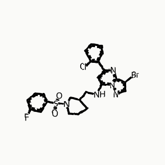 O=S(=O)(c1cccc(F)c1)N1CCCC(CNc2cc(-c3ccccc3Cl)nc3c(Br)cnn23)C1